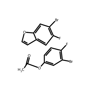 CC(=O)Oc1ccc(F)c(Br)c1.Fc1cc2ccoc2cc1Br